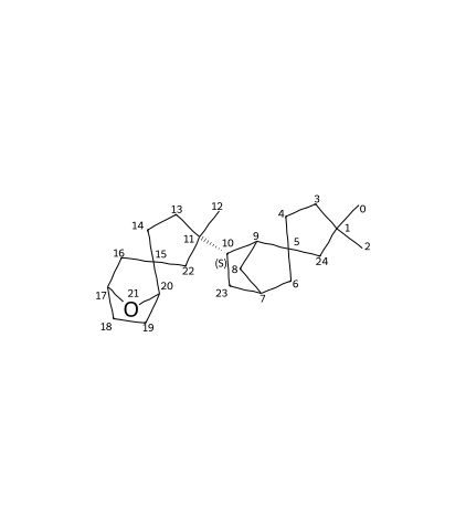 CC1(C)CCC2(CC3CC2[C@@H](C2(C)CCC4(CC5CCC4O5)C2)C3)C1